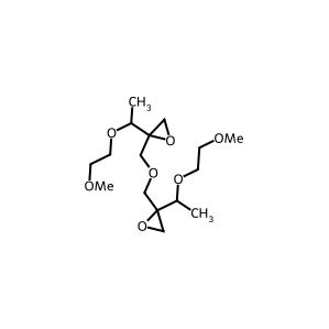 COCCOC(C)C1(COCC2(C(C)OCCOC)CO2)CO1